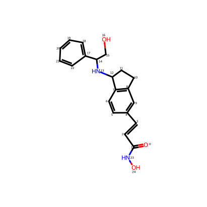 O=C(C=Cc1ccc2c(c1)CCC2NC(CO)c1ccccc1)NO